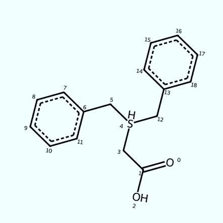 O=C(O)C[SH](Cc1ccccc1)Cc1ccccc1